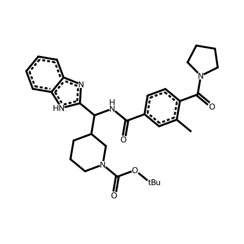 Cc1cc(C(=O)NC(c2nc3ccccc3[nH]2)C2CCCN(C(=O)OC(C)(C)C)C2)ccc1C(=O)N1CCCC1